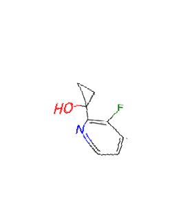 OC1(c2ncc[c]c2F)CC1